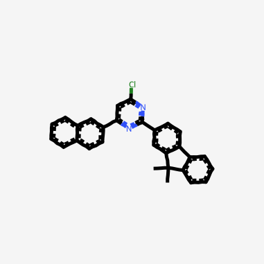 CC1(C)c2ccccc2-c2ccc(-c3nc(Cl)cc(-c4ccc5ccccc5c4)n3)cc21